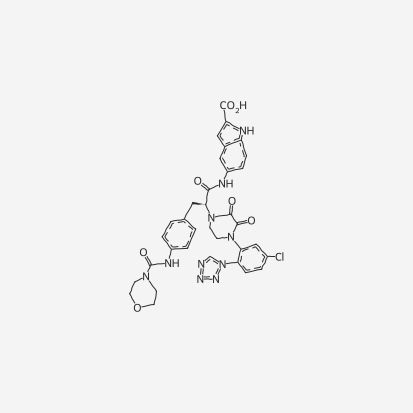 O=C(O)c1cc2cc(NC(=O)[C@H](Cc3ccc(NC(=O)N4CCOCC4)cc3)N3CCN(c4cc(Cl)ccc4-n4cnnn4)C(=O)C3=O)ccc2[nH]1